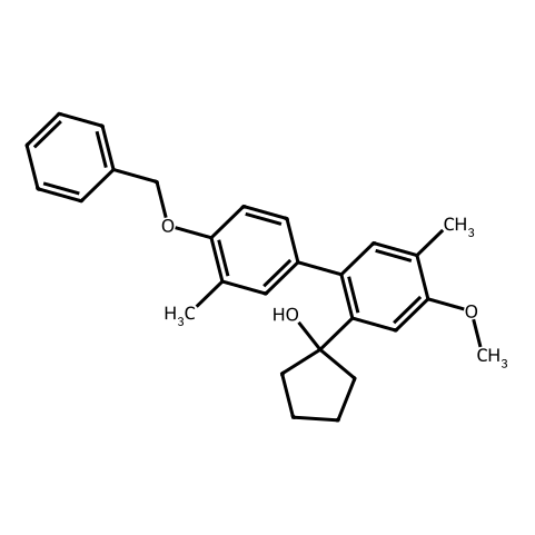 COc1cc(C2(O)CCCC2)c(-c2ccc(OCc3ccccc3)c(C)c2)cc1C